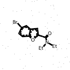 CCN(CC)C(=O)c1cc2cc(Br)ccc2o1